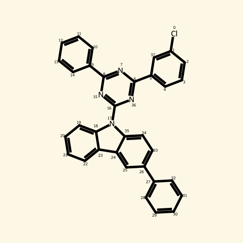 Clc1cccc(-c2nc(-c3ccccc3)nc(-n3c4ccccc4c4cc(-c5ccccc5)ccc43)n2)c1